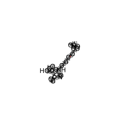 COc1cc([C@@H]2c3cc4c(cc3C3=NOCC3[C@@H]2C(=O)NCCOCCOCCOCCOCCC(=O)ON2C(=O)CCC2=O)OCO4)cc(CO)c1OC